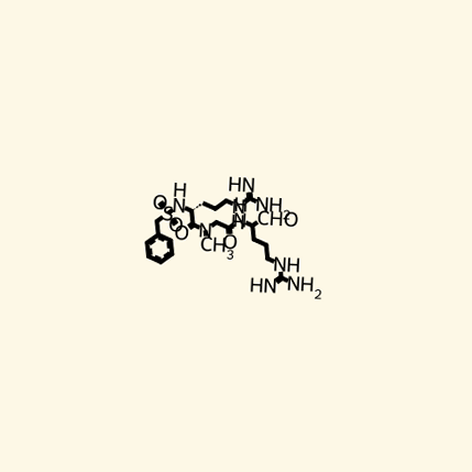 CN(CC(=O)NC(C=O)CCCNC(=N)N)C(=O)[C@@H](CCCNC(=N)N)NS(=O)(=O)Cc1ccccc1